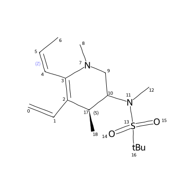 C=CC1=C(/C=C\C)N(C)CC(N(C)S(=O)(=O)C(C)(C)C)[C@H]1C